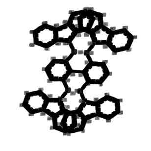 c1cc(Op2c3ccccc3c3ccccc32)c(-c2c(Op3c4ccccc4c4ccccc43)cccc2Op2c3ccccc3c3ccccc32)c(Op2c3ccccc3c3ccccc32)c1